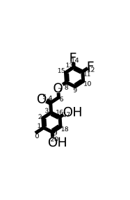 Cc1cc(C(=O)COc2ccc(F)c(F)c2)c(O)cc1O